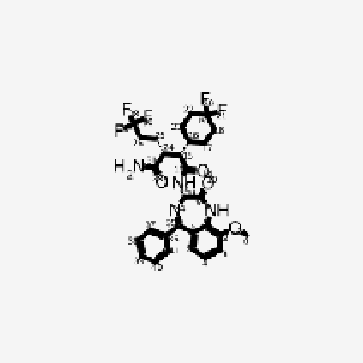 COc1cccc2c1NC(=O)[C@@H](NC(=O)[C@@H](C1CCC(F)(F)CC1)[C@@H](CCC(F)(F)F)C(N)=O)N=C2c1ccccc1